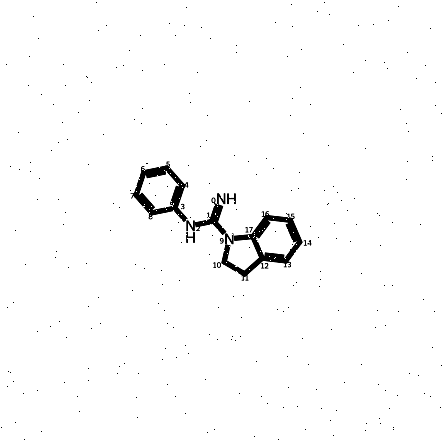 N=C(Nc1ccccc1)N1CCc2ccccc21